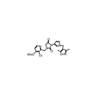 CCc1c(OC)ccnc1CN1CC(=O)N(c2cnn(Cc3c(C)noc3C)c2)C1=O